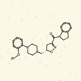 CC(C)Oc1ccccc1N1CCN(C[C@@H]2CC(C(=O)N3CCc4ccccc43)=NO2)CC1